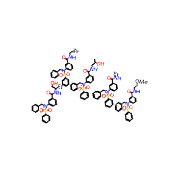 CC(C)CNC(=O)c1cccc(N(Cc2ccccc2)S(=O)(=O)c2ccccc2)c1.CC(O)CNC(=O)c1cccc(N(Cc2ccccc2)S(=O)(=O)c2ccccc2)c1.CCC(CO)NC(=O)c1cccc(N(Cc2ccccc2)S(=O)(=O)c2ccccc2)c1.CCNC(=O)c1cccc(N(Cc2ccccc2)S(=O)(=O)c2ccccc2)c1.COCCNC(=O)c1cccc(N(Cc2ccccc2)S(=O)(=O)c2ccccc2)c1